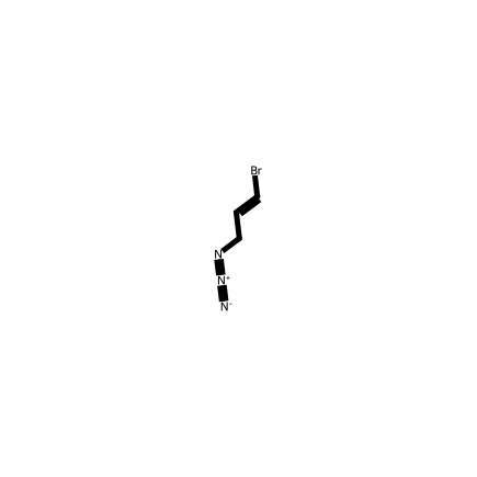 [N-]=[N+]=NCC=CBr